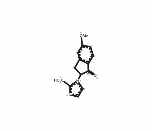 COc1ccc2c(c1)CC(n1ccnc1C(=O)O)C2=O